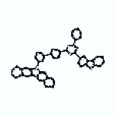 c1ccc(-c2nc(-c3ccc(-c4cccc(-n5c6cc7ccccc7cc6c6cc7ccccc7cc65)c4)cc3)nc(-c3ccc4sc5ccccc5c4c3)n2)cc1